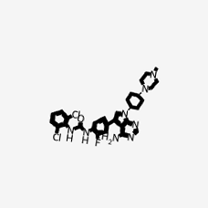 CN1CCN([C@H]2CC[C@@H](n3cc(-c4ccc(NC(=O)Nc5c(Cl)cccc5Cl)c(F)c4)c4c(N)ncnc43)CC2)CC1